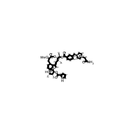 CO[C@H]1CC2C=C[C@@H]3C[C@]2(O[C@H]3[C@H](OC(=O)c2ccc[nH]2)[C@H](C)[C@H](C)O)/C(C)=C/[C@@H](C)[C@@H]([C@@H](C)OC(=O)c2cccc(C[N+]34CC[N+](CC(N)=O)(CC3)CC4)c2)OC1=O